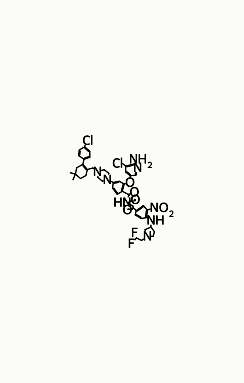 CC1(C)CCC(CN2CCN(c3ccc(C(=O)NS(=O)(=O)c4ccc(NC5CCN(CC(F)F)C5)c([N+](=O)[O-])c4)c(Oc4cnc(N)c(Cl)c4)c3)CC2)=C(c2ccc(Cl)cc2)C1